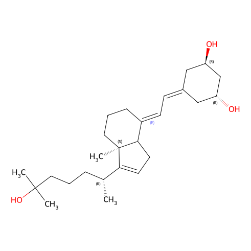 C[C@H](CCCC(C)(C)O)C1=CCC2/C(=C/C=C3C[C@@H](O)C[C@H](O)C3)CCC[C@]12C